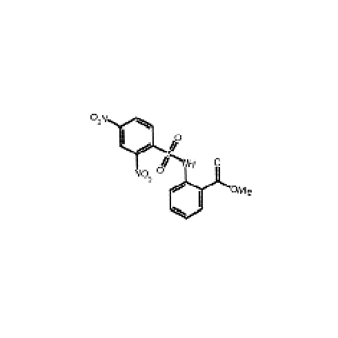 COC(=O)c1ccccc1NS(=O)(=O)c1ccc([N+](=O)[O-])cc1[N+](=O)[O-]